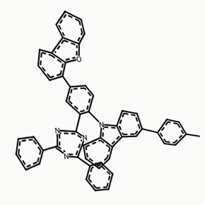 Cc1ccc(-c2ccc3c(c2)c2ccccc2n3-c2ccc(-c3cccc4c3oc3ccccc34)cc2-c2nc(-c3ccccc3)nc(-c3ccccc3)n2)cc1